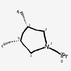 CC(C)N1C[C@@H](C)[C@@H](C)C1